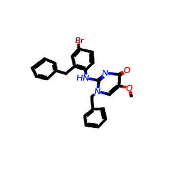 COc1cn(Cc2ccccc2)c(Nc2ccc(Br)cc2Cc2ccccc2)nc1=O